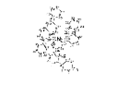 CC1C=CC2c3cccc(-c4cc(-c5cccc6c5sc5ccccc56)nc(-c5c(-c6ccccc6)ccc6cc(-c7ccccc7)ccc56)n4)c3SC2C1